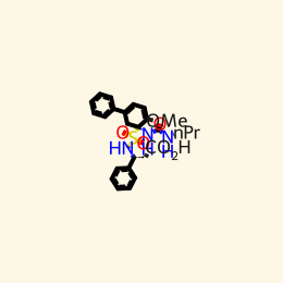 CCCNC(=O)N[C@]1(S(=O)(=O)N[C@H](CC(=O)O)c2ccccc2)CC(c2ccccc2)=CC=C1OC